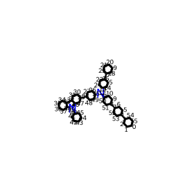 c1ccc(-c2ccc(-c3ccc(N(c4ccc(-c5ccccc5)cc4)c4ccc(-c5ccc6c7ccccc7n(-c7ccccc7)c6c5)cc4)cc3)cc2)cc1